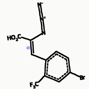 [N-]=[N+]=N/C(=C\c1ccc(Br)cc1C(F)(F)F)C(=O)O